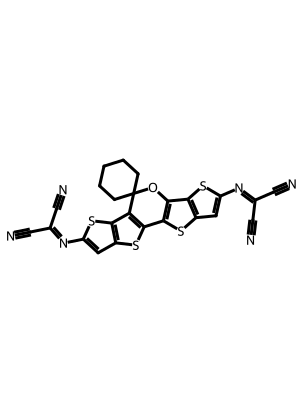 N#CC(C#N)=Nc1cc2sc3c(c2s1)OC1(CCCCC1)c1c-3sc2cc(N=C(C#N)C#N)sc12